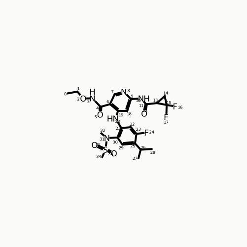 CCONC(=O)c1cnc(NC(=O)C2CC2(F)F)cc1Nc1cc(F)c(C(C)C)cc1N(C)S(C)(=O)=O